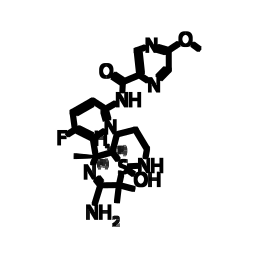 COc1cnc(C(=O)Nc2ccc(F)c([C@@]3(C)N=C(N)C(C)(C)S4(O)NCCC[C@H]34)n2)cn1